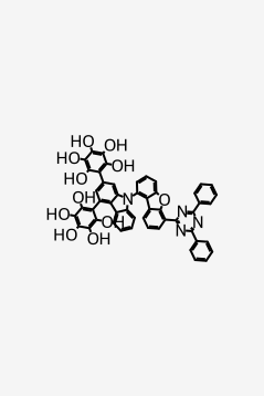 Oc1c(O)c(O)c(-c2cc(-c3c(O)c(O)c(O)c(O)c3O)c3c4ccccc4n(-c4cccc5oc6c(-c7nc(-c8ccccc8)nc(-c8ccccc8)n7)cccc6c45)c3c2)c(O)c1O